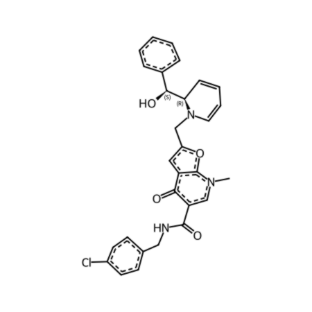 Cn1cc(C(=O)NCc2ccc(Cl)cc2)c(=O)c2cc(CN3C=CC=C[C@@H]3[C@@H](O)c3ccccc3)oc21